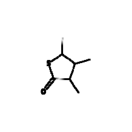 CC1SC(=O)C(C)C1C